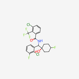 O=C(NC(c1cccc(F)c1Cl)[C@]1(O)CC[C@@H](F)CC1)c1cccc(Cl)c1C(F)(F)F